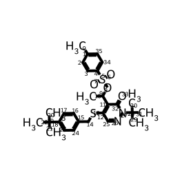 Cc1ccc(S(=O)(=O)OC(C)c2c(SCc3ccc(C(C)(C)C)cc3)cnn(C(C)(C)C)c2=O)cc1